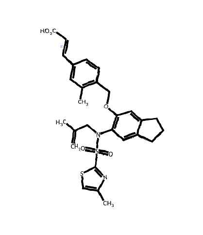 C=C(C)CN(c1cc2c(cc1OCc1ccc(/C=C/C(=O)O)cc1C)CCC2)S(=O)(=O)c1nc(C)cs1